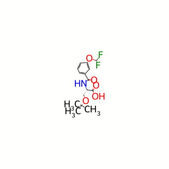 CC(C)(C)OC[C@H](NC(=O)c1cccc(OC(F)F)c1)C(=O)O